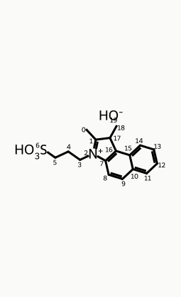 CC1=[N+](CCCS(=O)(=O)O)c2ccc3ccccc3c2C1C.[OH-]